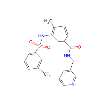 Cc1ccc(C(=O)NCc2cccnc2)cc1NS(=O)(=O)c1cccc(C(F)(F)F)c1